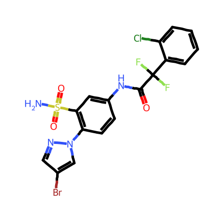 NS(=O)(=O)c1cc(NC(=O)C(F)(F)c2ccccc2Cl)ccc1-n1cc(Br)cn1